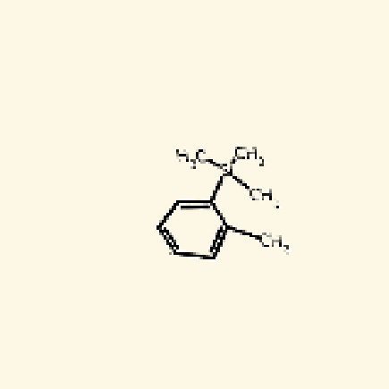 Cc1c[c]ccc1[Si](C)(C)C